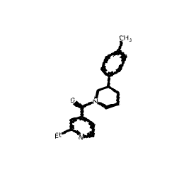 CCc1cc(C(=O)N2CCCC(c3ccc(C)cc3)C2)ccn1